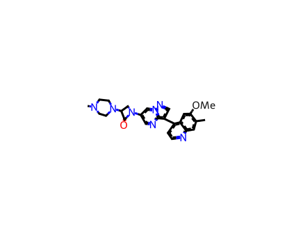 COc1cc2c(-c3cnn4cc(N5CC(N6CCN(C)CC6)C5=O)cnc34)ccnc2cc1C